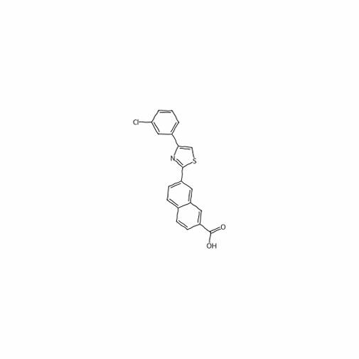 O=C(O)c1ccc2ccc(-c3nc(-c4cccc(Cl)c4)cs3)cc2c1